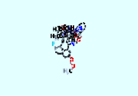 COCOc1cc(-c2nc3c4c(nc(=O)n(C)c4c2F)N2CC4CCC(C2CO3)N4C(=O)OC(C)(C)C)c2c(C#C[Si](C(C)C)(C(C)C)C(C)C)c(F)ccc2c1